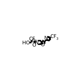 O=C(O[C@H](CO)C(F)(F)F)N1CCC2(CC1)CC(c1ccc(C(F)(F)F)cn1)CO2